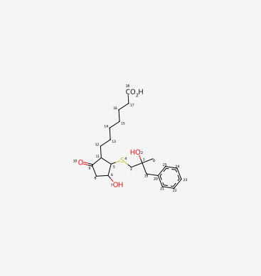 CC(O)(CSC1C(O)CC(=O)C1CCCCCCC(=O)O)Cc1ccccc1